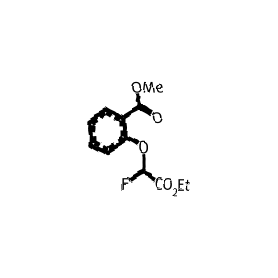 CCOC(=O)C(F)Oc1ccccc1C(=O)OC